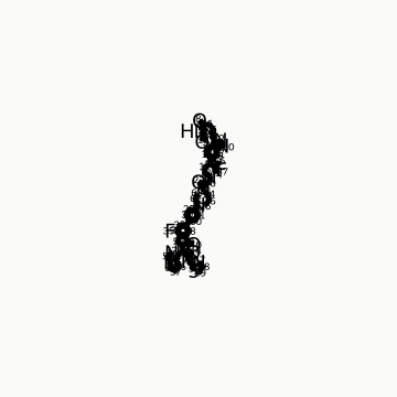 Cn1nc(N2CCC(=O)NC2=O)c2ccc(C3CCN(CC(=O)N4CCCN(c5ccc(-c6cc(F)c7c(c6)C(=O)N(C(C(=O)Nc6nccs6)c6ncn8c6CCC8)C7)cc5)CC4)CC3(F)F)cc21